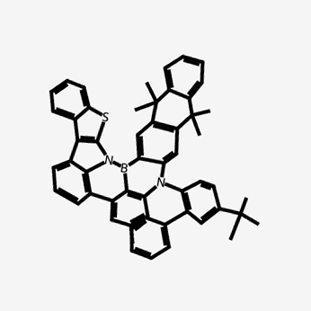 Cc1cc2c3c(c1)N(c1ccc(C(C)(C)C)cc1-c1ccccc1)c1cc4c(cc1B3n1c3sc5ccccc5c3c3cccc-2c31)C(C)(C)c1ccccc1C4(C)C